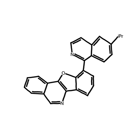 CC(C)c1ccc2c(-c3cccc4c3oc3c5ccccc5cnc43)nccc2c1